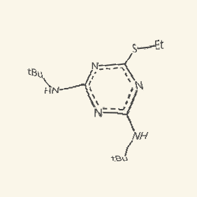 CCSc1nc(NC(C)(C)C)nc(NC(C)(C)C)n1